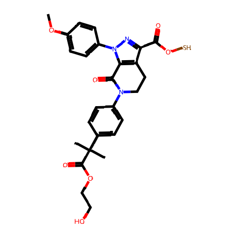 COc1ccc(-n2nc(C(=O)OS)c3c2C(=O)N(c2ccc(C(C)(C)C(=O)OCCO)cc2)CC3)cc1